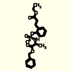 CCOC(=O)CCc1ccccc1OP(=O)(Cl)NC(C)C(=O)OCc1ccccc1